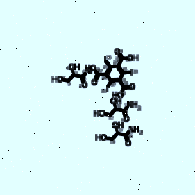 NC(=O)[C@H](O)CO.NC(=O)[C@H](O)CO.NC(=O)[C@H](O)CO.O=C(O)c1c(I)c(C(=O)O)c(I)c(C(=O)O)c1I